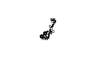 CCCCc1nc(Cl)c(COC(=O)CCC[C@@H](CC)O[N+](=O)[O-])n1Cc1ccc(-c2ccccc2-c2nnn[nH]2)cc1